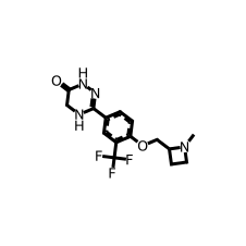 CN1CCC1COc1ccc(C2=NNC(=O)CN2)cc1C(F)(F)F